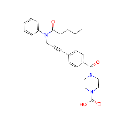 CCCCC(=O)N(CC#Cc1ccc(C(=O)N2CCN(C(=O)O)CC2)cc1)c1ccccc1